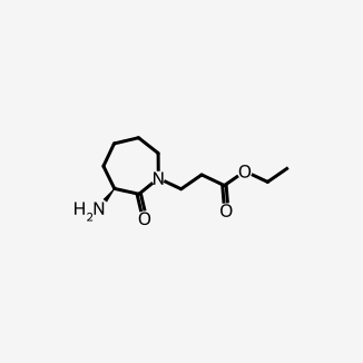 CCOC(=O)CCN1CCCC[C@H](N)C1=O